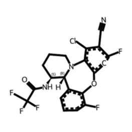 N#Cc1c(F)cc2c(c1Cl)N1CCC[C@H](NC(=O)C(F)(F)F)[C@H]1c1cccc(F)c1O2